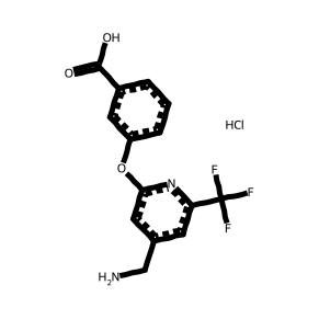 Cl.NCc1cc(Oc2cccc(C(=O)O)c2)nc(C(F)(F)F)c1